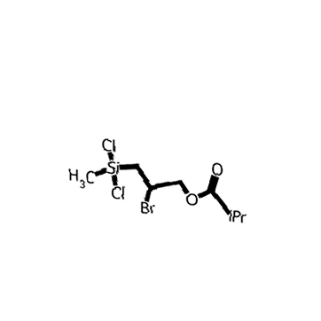 CC(C)C(=O)OCC(Br)C[Si](C)(Cl)Cl